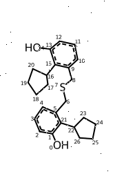 Oc1cccc(CSCc2cccc(O)c2C2CCCC2)c1C1CCCC1